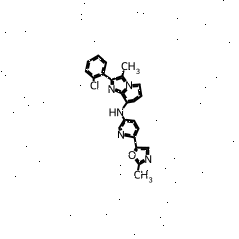 Cc1ncc(-c2ccc(Nc3cccn4c(C)c(-c5ccccc5Cl)nc34)cn2)o1